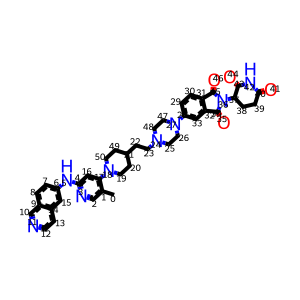 Cc1cnc(Nc2ccc3cnccc3c2)cc1N1CCC(CCN2CCN(c3ccc4c(c3)C(=O)N(C3CCC(=O)NC3=O)C4=O)CC2)CC1